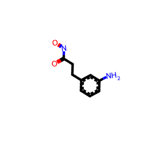 Nc1cccc(CCC(=O)N=O)c1